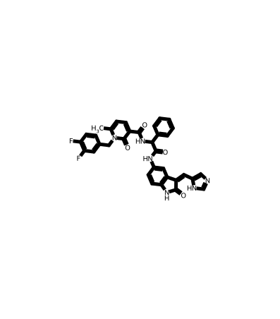 Cc1ccc(C(=O)NC(C(=O)Nc2ccc3c(c2)C(=Cc2cnc[nH]2)C(=O)N3)c2ccccc2)c(=O)n1Cc1ccc(F)c(F)c1